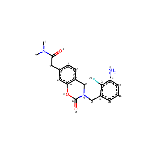 CN(C)C(=O)Cc1ccc2c(c1)OC(=O)N(Cc1cccc(N)c1F)C2